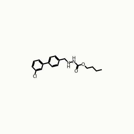 CCCCOC(=O)NNCc1ccc(-c2cccc(Cl)c2)cc1